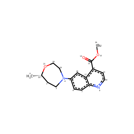 C[C@H]1CCN(c2ccc3nccc(C(=O)OC(C)(C)C)c3c2)CCO1